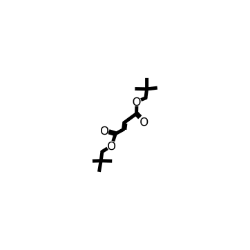 CC(C)(C)COC(=O)C=CC(=O)OCC(C)(C)C